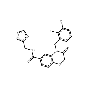 O=C(NCc1ccco1)c1ccc2c(c1)N(Cc1cccc(F)c1F)C(=O)CS2